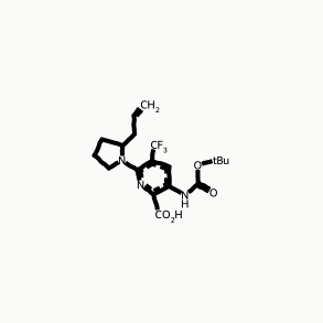 C=CCC1CCCN1c1nc(C(=O)O)c(NC(=O)OC(C)(C)C)cc1C(F)(F)F